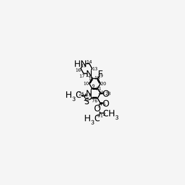 CC(C)OC(=O)c1c2n(c3cc(N4CCNCC4)c(F)cc3c1=O)C(C)S2